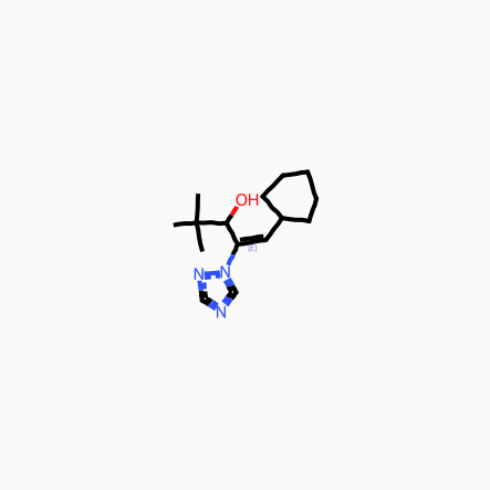 CC(C)(C)C(O)/C(=C\C1CCCCC1)n1cncn1